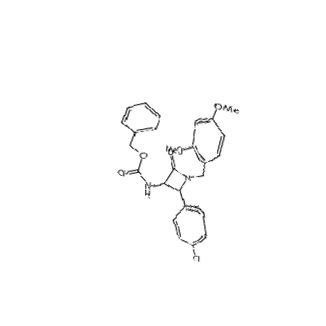 COc1ccc(CN2C(=O)C(NC(=O)OCc3ccccc3)C2c2ccc(Cl)cc2)c(OC)c1